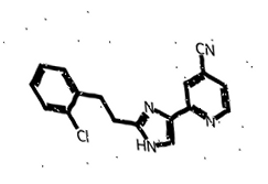 N#Cc1ccnc(-c2c[nH]c(CCc3ccccc3Cl)n2)c1